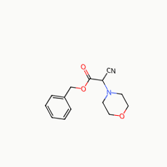 N#CC(C(=O)OCc1ccccc1)N1CCOCC1